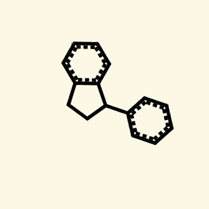 [c]1ccc2c(c1)CCC2c1ccccc1